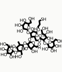 CC1[C@H](OC2[C@H](O[C@@H]3C(CO[C@@H]4OC(CO)[C@@H](O)[C@H](O)C4O[C@@H]4OC(CO)[C@@H](O)[C@H](O)C4O)O[C@H](OCCCS)C(O)[C@H]3O[C@@H]3OC(CO)[C@@H](O)[C@H](O)C3O)OC(CO)[C@@H](O)[C@@H]2O)OC(CO)[C@@H](O[C@@H]2OC(CO)[C@H](O)[C@H](O)C2O)[C@@H]1O